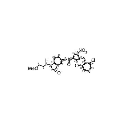 COCCNC1C[S+]([O-])c2cc(NC(=O)c3cc([N+](=O)[O-])c(Sc4c(Cl)cncc4Cl)s3)ccc21